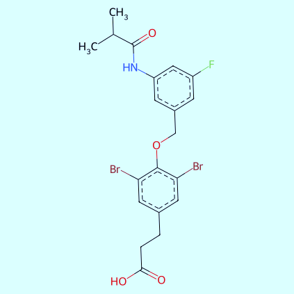 CC(C)C(=O)Nc1cc(F)cc(COc2c(Br)cc(CCC(=O)O)cc2Br)c1